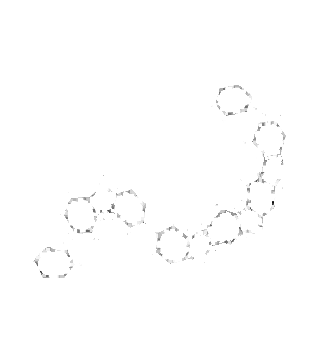 c1ccc(-c2ccc3oc4ccc(-c5ccc6oc7cc8oc9cc%10oc%11ccc(-c%12ccccc%12)cc%11c%10cc9c8cc7c6c5)cc4c3c2)cc1